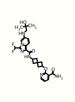 CC(C)(O)CNc1ccc2c(C(=O)NC3CC4(C3)CC(Oc3ncccc3C(N)=O)C4)nc(C(F)F)n2c1